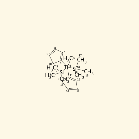 C[Si](C)(C)[Ti]([CH3])([C]1=CC=CC1)([C]1=CC=CC1)[Si](C)(C)C